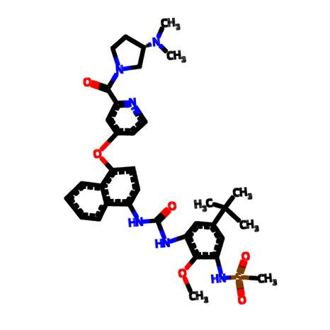 COc1c(NC(=O)Nc2ccc(Oc3ccnc(C(=O)N4CC[C@H](N(C)C)C4)c3)c3ccccc23)cc(C(C)(C)C)cc1NS(C)(=O)=O